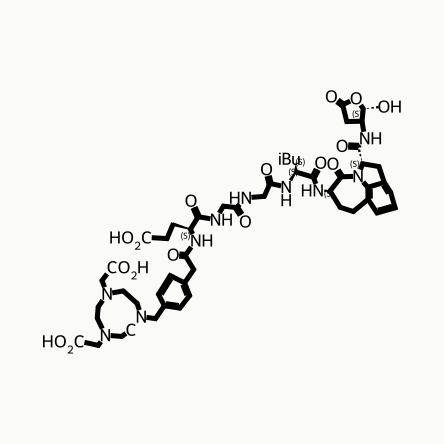 CC[C@H](C)[C@H](NC(=O)CNC(=O)CNC(=O)[C@H](CCC(=O)O)NC(=O)Cc1ccc(CN2CCN(CC(=O)O)CCN(CC(=O)O)CC2)cc1)C(=O)N[C@H]1CCc2cccc3c2N(C1=O)[C@H](C(=O)NC1CC(=O)O[C@@H]1O)C3